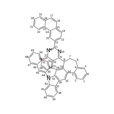 c1ccc2c(c1)CCC(c1nc(-c3ccc4ccc5ccccc5c4c3)nc3ccccc13)c1c-2cc2c3ccccc3n3c4cc5ccccc5cc4c1c23